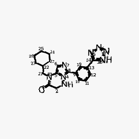 O=C1CNn2c(cnc2-c2cccc(-c3nnn[nH]3)c2)N1CC1CCCCC1